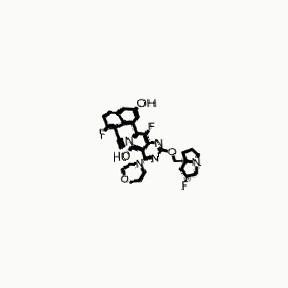 C#Cc1c(F)ccc2cc(O)cc(-c3nc(O)c4c(N5CCCOCC5)nc(OC[C@@]56CCCN5C[C@H](F)C6)nc4c3F)c12